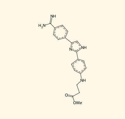 COC(=O)CCNc1ccc(-c2nc(-c3ccc(C(=N)N)cc3)c[nH]2)cc1